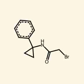 O=C(CBr)NC1(c2ccccc2)CC1